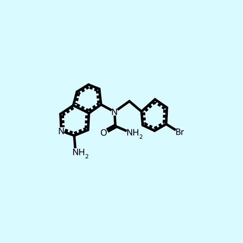 NC(=O)N(Cc1ccc(Br)cc1)c1cccc2cnc(N)cc12